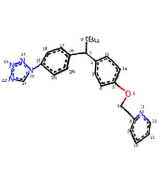 CC(C)(C)C(c1ccc(OCc2ccccn2)cc1)c1ccc(-n2cnnn2)cc1